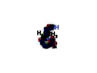 Cc1cc(C(=O)N2CCC(CN3CCN(Cc4cc5c(cc4F)n(C4CCC(=O)NC4=O)c(=O)n5C4CC4)CC3)CC2)cc(F)c1C1=CCN([C@@H](C)c2cc3c(-n4ccc5c(c4=O)CCN5)ccnc3n2C)CC1